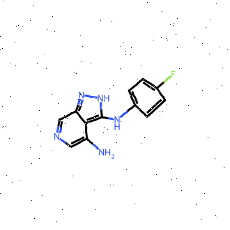 Nc1cncc2n[nH]c(Nc3ccc(F)cc3)c12